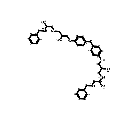 CC(CNCC(O)COc1ccc(Cc2ccc(OCC(O)CNC(C)CNCc3ccccc3)cc2)cc1)NCc1ccccc1